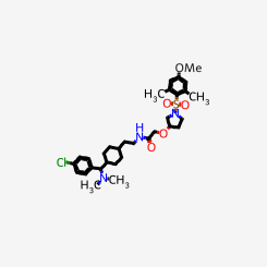 COc1cc(C)c(S(=O)(=O)N2CCC(OCC(=O)NCCC3CCC(C(c4ccc(Cl)cc4)N(C)C)CC3)C2)c(C)c1